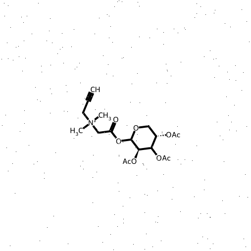 C#CC[N+](C)(C)CC(=O)OC1OC[C@H](OC(C)=O)C(OC(C)=O)[C@H]1OC(C)=O